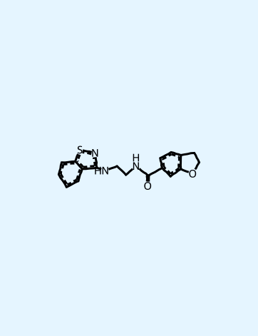 O=C(NCCNc1nsc2ccccc12)c1ccc2c(c1)OCC2